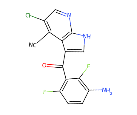 N#Cc1c(Cl)cnc2[nH]cc(C(=O)c3c(F)ccc(N)c3F)c12